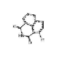 CCc1ccc2cccc3c2c1C(=O)NC3=O